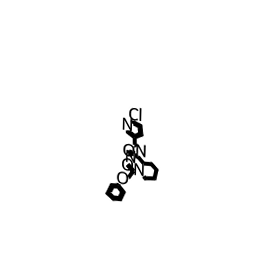 O=C(COc1ccccc1)N1CCCCC1c1noc(-c2ccc(Cl)nc2)n1